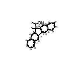 CC(O)C1(C)c2cc3ccccc3cc2-c2cc3ccccc3cc21